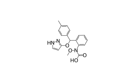 CON(C(=O)O)c1ccccc1C(Oc1cc[nH]n1)c1ccc(C)cc1